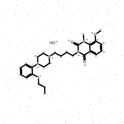 CCCSc1ccccc1N1CCN(CCCCn2c(=O)c3cccc(OC)c3n(C)c2=O)CC1.Cl